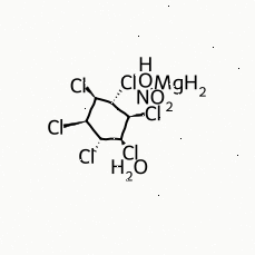 Cl[C@H]1[C@H](Cl)[C@@H](Cl)[C@@H](Cl)[C@H](Cl)[C@H]1Cl.O.O=[N+]([O-])O.[MgH2]